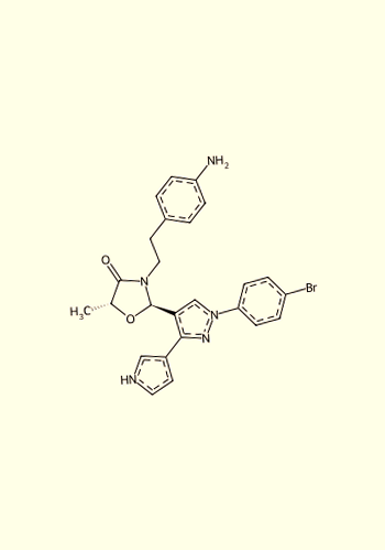 C[C@H]1O[C@H](c2cn(-c3ccc(Br)cc3)nc2-c2cc[nH]c2)N(CCc2ccc(N)cc2)C1=O